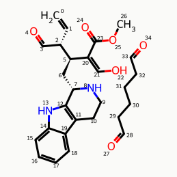 C=C[C@@H](C=O)[C@H](C[C@@H]1NCCc2c1[nH]c1ccccc21)/C(=C/O)C(=O)OC.O=CCCCCC=O